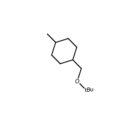 CC1CCC(COC(C)(C)C)CC1